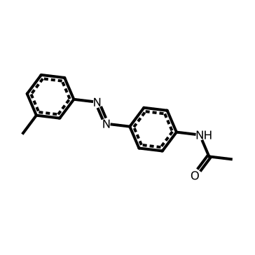 CC(=O)Nc1ccc(N=Nc2cccc(C)c2)cc1